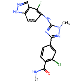 CCNC(=O)c1ccc(-c2nc(Nc3ccc4[nH]ncc4c3Cl)n(C)n2)cc1Cl